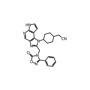 N#CCC1CCC(n2c(Cn3c(-c4ccccc4)noc3=O)nc3cnc4[nH]ccc4c32)CC1